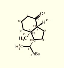 CCCCC(C)[C@H]1CC[C@H]2C(=O)CCC[C@]12C